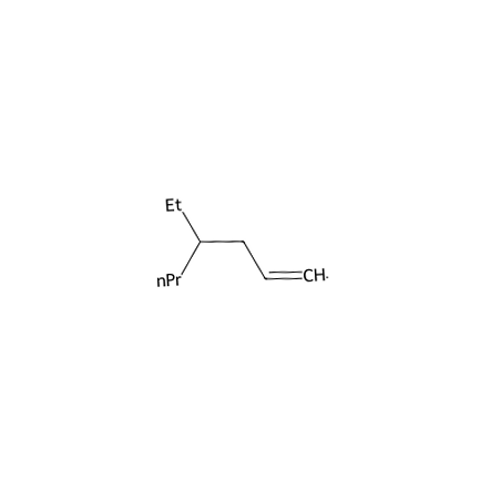 [CH]=CCC(CC)CCC